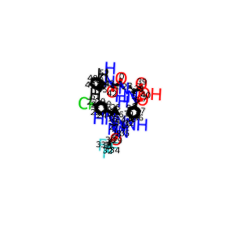 O=C(NC[C@H](NC(=O)c1ccc(Nc2nc(NC3(c4ccc(Cl)cc4)CC3)nc(OCC(F)(F)F)n2)cc1)C(=O)O)C(=O)N[C@@H]1C[C@@H]2CC[C@H]1C2